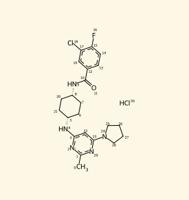 Cc1nc(N[C@H]2CC[C@@H](NC(=O)c3ccc(F)c(Cl)c3)CC2)cc(N2CCCC2)n1.Cl